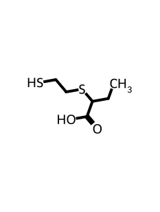 CCC(SCCS)C(=O)O